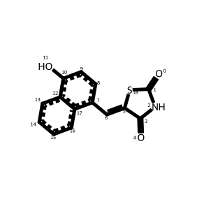 O=C1NC(=O)/C(=C/c2ccc(O)c3ccccc23)S1